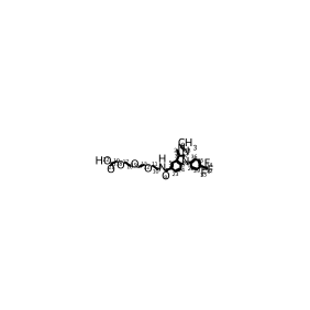 Cn1cc2c3cc(C(=O)NCCOCCOCCOCC(=O)O)ccc3n(-c3ccc(C(F)(F)F)cc3)c2n1